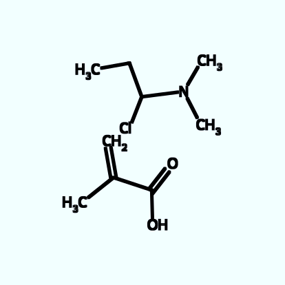 C=C(C)C(=O)O.CCC(Cl)N(C)C